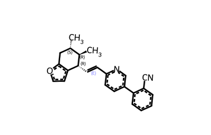 C[C@H]1[C@H](/C=C/c2ccc(-c3ccccc3C#N)cn2)c2ccoc2C[C@@H]1C